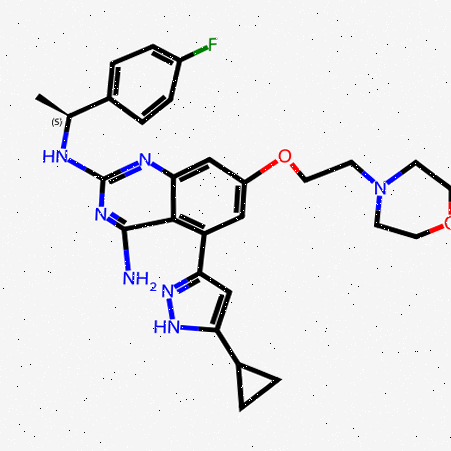 C[C@H](Nc1nc(N)c2c(-c3cc(C4CC4)[nH]n3)cc(OCCN3CCOCC3)cc2n1)c1ccc(F)cc1